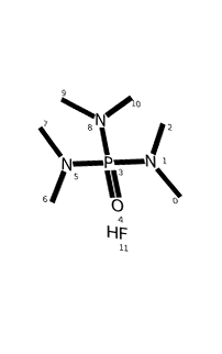 CN(C)P(=O)(N(C)C)N(C)C.F